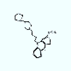 CSc1ccc2c(c1)N(CCCCN1CCC(N3CCCCC3)CC1)c1ccccc1S2